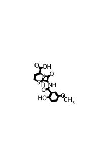 COc1ccc(O)c(C(=O)NC2C(=O)N3C(C(=O)O)=CCS[C@H]23)c1